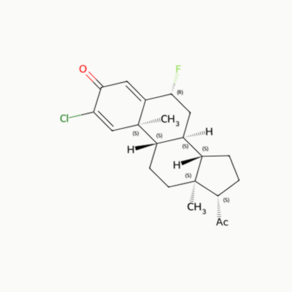 CC(=O)[C@H]1CC[C@H]2[C@@H]3C[C@@H](F)C4=CC(=O)C(Cl)=C[C@]4(C)[C@H]3CC[C@]12C